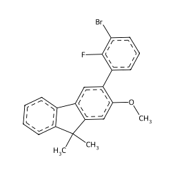 COc1cc2c(cc1-c1cccc(Br)c1F)-c1ccccc1C2(C)C